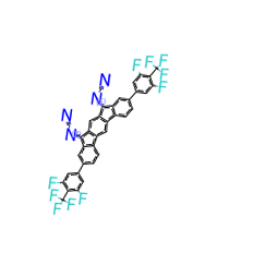 N#C/N=c1/c2cc(-c3cc(F)c(C(F)(F)F)c(F)c3)ccc2c2cc3c(cc12)/c(=N/C#N)c1cc(-c2cc(F)c(C(F)(F)F)c(F)c2)ccc13